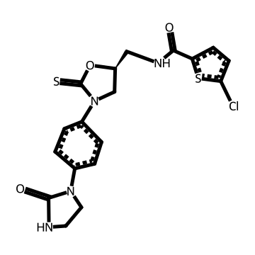 O=C(NC[C@H]1CN(c2ccc(N3CCNC3=O)cc2)C(=S)O1)c1ccc(Cl)s1